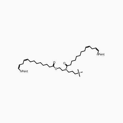 CCCCC/C=C\C/C=C\CCCCCCCC(=O)OCCN(CCC[N+](C)(C)C)C(=O)CCCCCCC/C=C\C/C=C\CCCCC